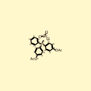 CC(=O)Oc1ccc([P+](C)(c2ccccc2)c2ccc(OC(C)=O)cc2)cc1.[Cl][Zn-]([Cl])[Cl]